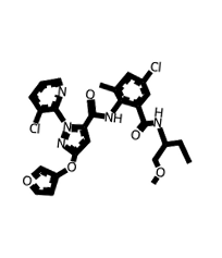 CCC(COC)NC(=O)c1cc(Cl)cc(C)c1NC(=O)c1cc(Oc2ccoc2)nn1-c1ncccc1Cl